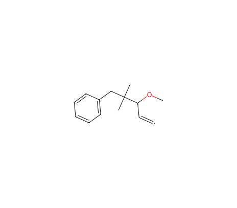 [CH]=CC(OC)C(C)(C)Cc1ccccc1